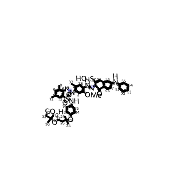 COc1cc(/N=N/c2c(C)cc(C)cc2S(=O)(=O)Nc2ccc(OC(C)(C)CCOC(C)(C)CC(=O)O)cc2)c(C)cc1N/N=C1/C(=O)c2ccc(Nc3ccccc3)cc2C=C1S(=O)(=O)O